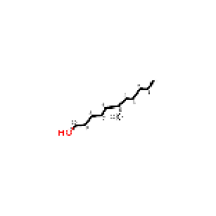 CCCCCCCCCCCO.[K]